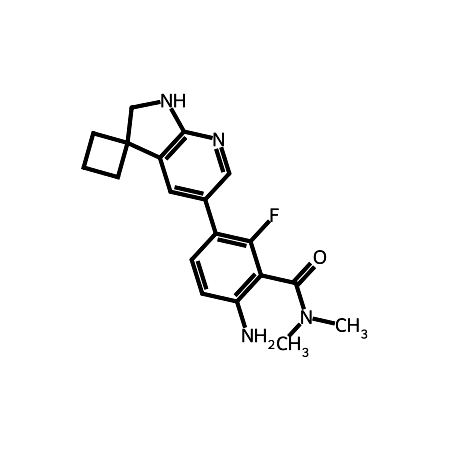 CN(C)C(=O)c1c(N)ccc(-c2cnc3c(c2)C2(CCC2)CN3)c1F